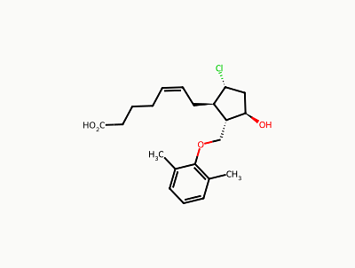 Cc1cccc(C)c1OC[C@@H]1[C@@H](C/C=C\CCCC(=O)O)[C@H](Cl)C[C@H]1O